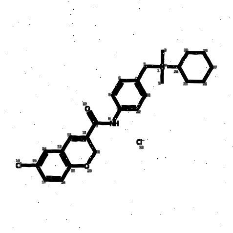 C[N+](C)(Cc1ccc(NC(=O)C2=Cc3cc(Cl)ccc3OC2)cc1)C1CCCCC1.[Cl-]